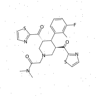 Cc1c(F)cccc1C1[C@@H](C(=O)c2nccs2)CN(CC(=O)N(C)C)C[C@@H]1C(=O)c1nccs1